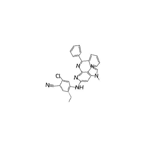 CCc1cc(C#N)c(Cl)cc1Nc1cc2c(ncn2C)c(N=C(c2ccccc2)c2ccccc2)n1